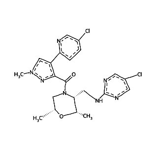 C[C@@H]1CN(C(=O)c2nn(C)cc2-c2ccc(Cl)cn2)[C@H](CNc2ncc(Cl)cn2)[C@H](C)O1